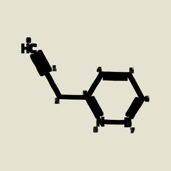 C#CCc1cccbn1